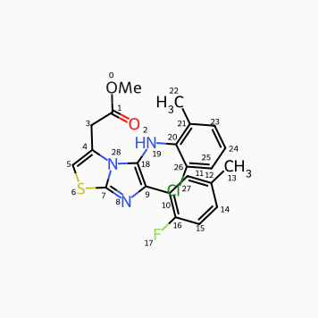 COC(=O)Cc1csc2nc(-c3cc(C)ccc3F)c(Nc3c(C)cccc3Cl)n12